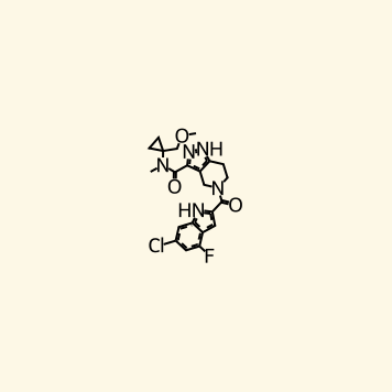 COCC1(N(C)C(=O)c2n[nH]c3c2CN(C(=O)c2cc4c(F)cc(Cl)cc4[nH]2)CC3)CC1